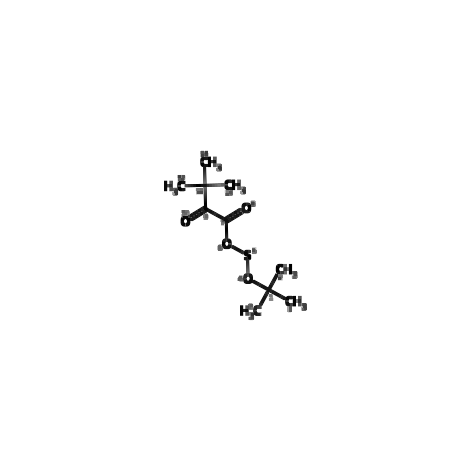 CC(C)(C)OSOC(=O)C(=O)C(C)(C)C